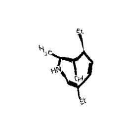 CCC1=C/N/C(C)=C(\C)[C@@H](CC)/C=C\1